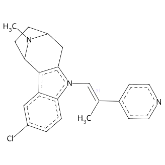 C/C(=C\n1c2c(c3cc(Cl)ccc31)C1CCC(C2)N1C)c1ccncc1